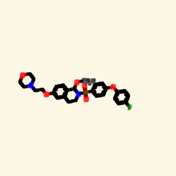 O=C(O)OC1c2ccc(OCCN3CCOCC3)cc2CCN1S(=O)(=O)c1ccc(Oc2ccc(F)cc2)cc1